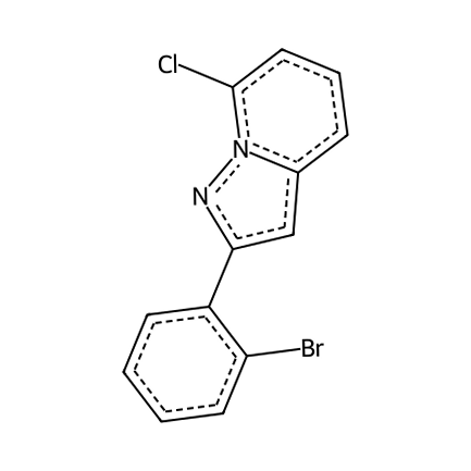 Clc1cccc2cc(-c3ccccc3Br)nn12